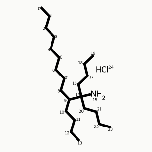 CCCCCCCCCC(CCCC)C(N)(CCCC)CCCC.Cl